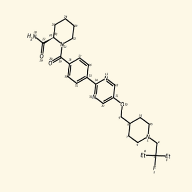 CCC(F)(CC)CN1CCC(COc2cnc(-c3ccc(C(=O)N4CCCC[C@@H]4C(N)=O)cc3)nc2)CC1